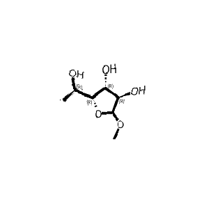 [CH2][C@@H](O)[C@H]1OC(OC)[C@H](O)[C@H]1O